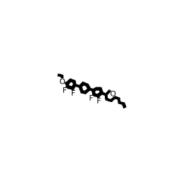 C=CCCC1CCC(c2ccc(-c3ccc(-c4ccc(OCC)c(F)c4F)cc3)c(F)c2F)CO1